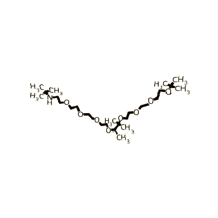 C[C@@H](OCCOCCOCCOCCNC(C)(C)C)C(C)(C)OCCOCCOCCOC(C)(C)C